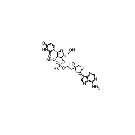 COC1C(OP(=O)(S)OCCC2(O)CO[C@@H](n3cnc4c(N)ncnc43)C2)[C@@H](CO)O[C@H]1n1ccc(=O)[nH]c1=O